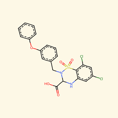 O=C(O)C1Nc2cc(Cl)cc(Cl)c2S(=O)(=O)N1Cc1cccc(Oc2ccccc2)c1